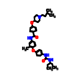 CCC(CC)NC(=O)Nc1ccc(Oc2ccc(NC(=O)c3ccc(OC4CCN(CCC(C)C)CC4)cc3)cc2C)cc1